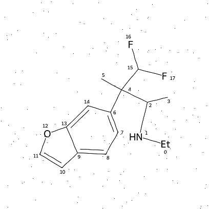 CCNC(C)C(C)(c1ccc2ccoc2c1)C(F)F